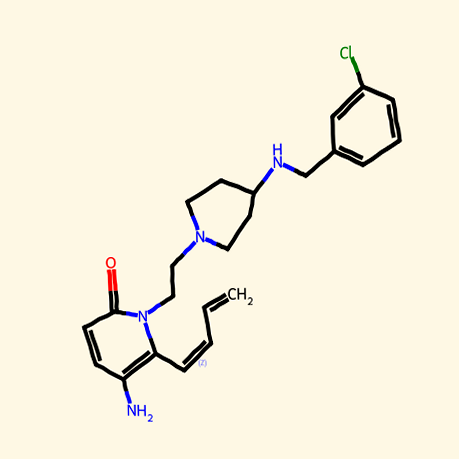 C=C/C=C\c1c(N)ccc(=O)n1CCN1CCC(NCc2cccc(Cl)c2)CC1